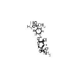 CC(C)(O)[C@H]1CC[C@H](COc2ncc(S(N)(=O)=O)cc2Cl)CC1